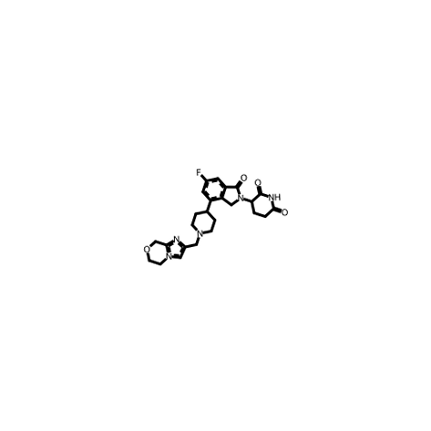 O=C1CCC(N2Cc3c(cc(F)cc3C3CCN(Cc4cn5c(n4)COCC5)CC3)C2=O)C(=O)N1